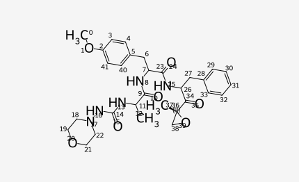 COc1ccc(CC(NC(=O)C(C)NC(=O)NN2CCOCC2)C(=O)NC(Cc2ccccc2)C(=O)[C@@]2(C)CO2)cc1